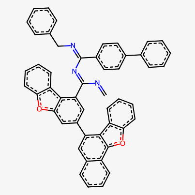 C=N/C(=N\C(=N/Cc1ccccc1)c1ccc(-c2ccccc2)cc1)c1cc(-c2cc3ccccc3c3oc4ccccc4c23)cc2oc3ccccc3c12